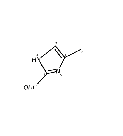 Cc1c[nH]c(C=O)n1